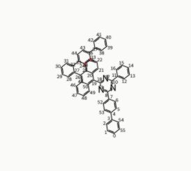 c1ccc(-c2ccc(-c3nc(-c4ccccc4)nc(-c4c5ccccc5c(-c5ccccc5-c5ccc(-c6ccccc6)cc5)c5ccccc45)n3)cc2)cc1